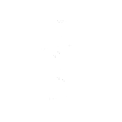 CNc1ccc2c(O)c(N=Nc3cc(C)c(N=Nc4cc(S(=O)(=O)O)ccc4S(=O)(=O)O)cc3O)c(S(=O)(=O)O)cc2c1